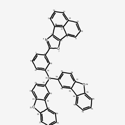 c1cc(-c2nc3c(o2)-c2cccc4cccc-3c24)cc(N(c2ccc3oc4ccccc4c3c2)c2ccc3oc4ccccc4c3c2)c1